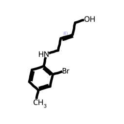 Cc1ccc(NC/C=C/CO)c(Br)c1